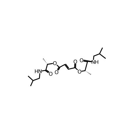 CC(C)CNC(=O)[C@H](C)OC(=O)/C=C/C(=O)O[C@@H](C)C(=O)NCC(C)C